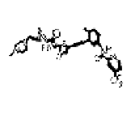 Cc1ccc(NC(=O)c2cc(C(F)(F)F)ccn2)cc1C#Cc1cnc(NC(=O)N(C)CCN2CCN(C)CC2)s1